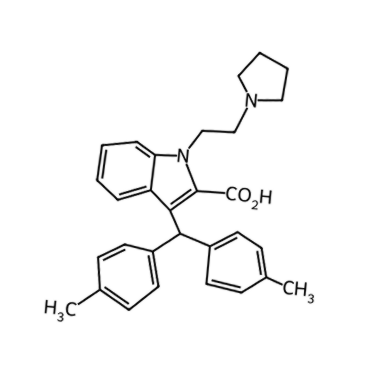 Cc1ccc(C(c2ccc(C)cc2)c2c(C(=O)O)n(CCN3CCCC3)c3ccccc23)cc1